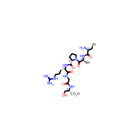 CC(C)C[C@H](N)C(=O)N[C@H](C(=O)N1CCC[C@H]1C(=O)N[C@@H](CCCNC(=N)N)C(=O)NCC(=O)N[C@@H](CO)C(=O)O)C(C)C